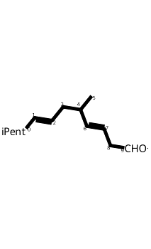 CCCC(C)/C=C/CC(C)/C=C/C[C]=O